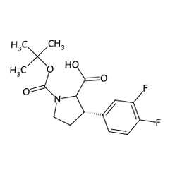 CC(C)(C)OC(=O)N1CC[C@@H](c2ccc(F)c(F)c2)C1C(=O)O